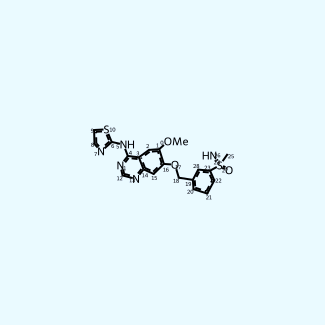 COc1cc2c(Nc3nccs3)ncnc2cc1OCc1cccc(S(C)(=N)=O)c1